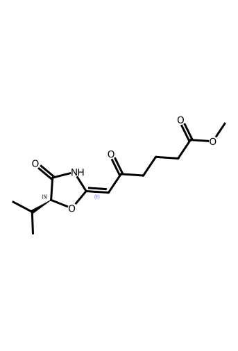 COC(=O)CCCC(=O)/C=C1\NC(=O)[C@H](C(C)C)O1